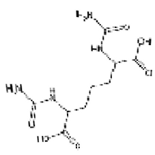 NC(=O)NC(CCCC(NC(N)=O)C(=O)O)C(=O)O